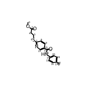 COC(=O)CCSc1ccc(C(=O)Nc2ccc(F)cc2)cn1